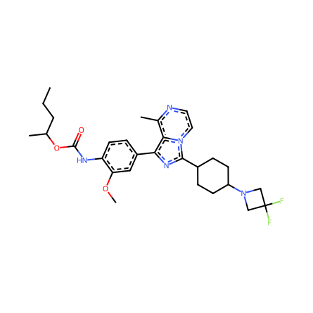 CCCC(C)OC(=O)Nc1ccc(-c2nc(C3CCC(N4CC(F)(F)C4)CC3)n3ccnc(C)c23)cc1OC